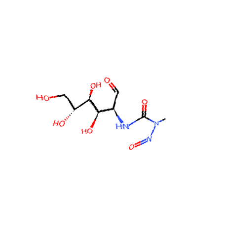 CN(N=O)C(=O)N[C@H](C=O)[C@@H](O)[C@H](O)[C@H](O)CO